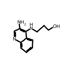 Nc1cnc2ccccc2c1NCCCO